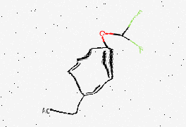 CC(=O)Cc1ccc(OC(F)F)cc1